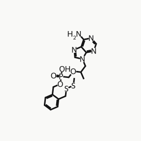 CSSCc1ccccc1COP(=O)(O)COC(C)Cn1cnc2c(N)ncnc21